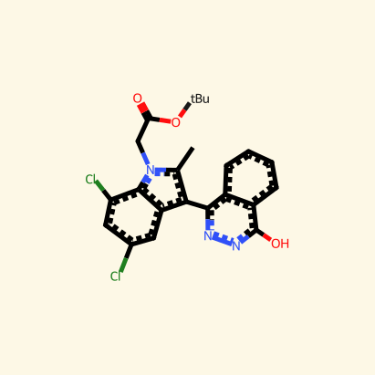 Cc1c(-c2nnc(O)c3ccccc23)c2cc(Cl)cc(Cl)c2n1CC(=O)OC(C)(C)C